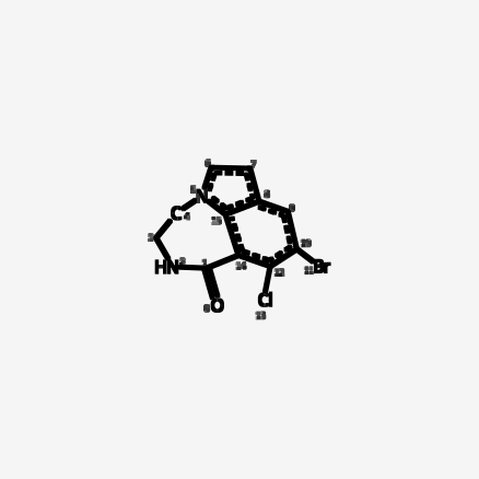 O=C1NCCn2ccc3cc(Br)c(Cl)c1c32